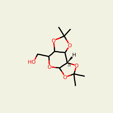 CC1(C)OC2C(CO)OC3OC(C)(C)O[C@H]3C2O1